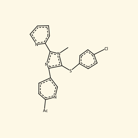 CC(=O)c1ccc(-c2nc(-c3ccccn3)n(C)c2Sc2ccc(Cl)cc2)cn1